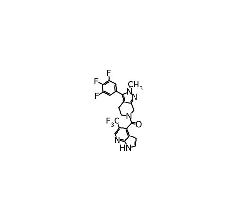 Cn1nc2c(c1-c1cc(F)c(F)c(F)c1)CCN(C(=O)c1c(C(F)(F)F)cnc3[nH]ccc13)C2